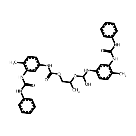 Cc1ccc(NC(=O)OCC(C)OC(O)Nc2ccc(C)c(NC(=O)Nc3ccccc3)c2)cc1NC(=O)Nc1ccccc1